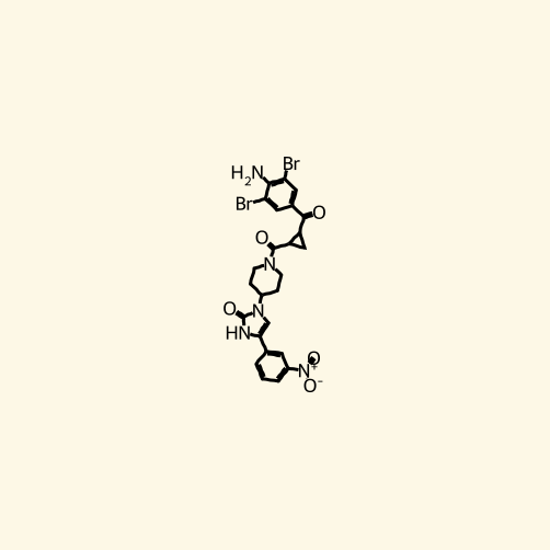 Nc1c(Br)cc(C(=O)C2CC2C(=O)N2CCC(n3cc(-c4cccc([N+](=O)[O-])c4)[nH]c3=O)CC2)cc1Br